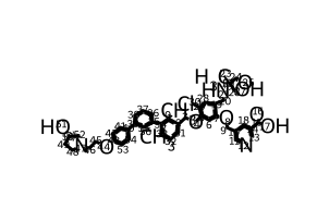 Cc1c(COc2cc(OCc3cncc(C(=O)O)c3)c(CN[C@](C)(C=O)CO)cc2Cl)cccc1-c1cccc(-c2ccc(OCCN3CC[C@@H](O)C3)cc2)c1C